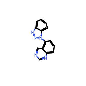 c1cc(-n2nnc3ccccc32)c2cncnc2c1